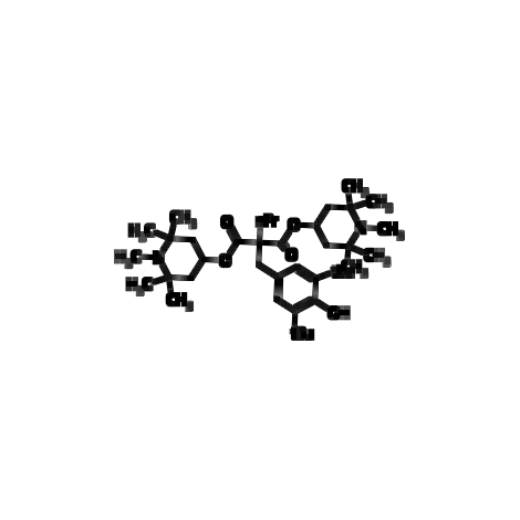 CCCC(Cc1cc(C(C)(C)C)c(O)c(C(C)(C)C)c1)(C(=O)OC1CC(C)(C)N(C)C(C)(C)C1)C(=O)OC1CC(C)(C)N(C)C(C)(C)C1